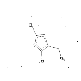 N#CCc1cc(Cl)sc1Cl